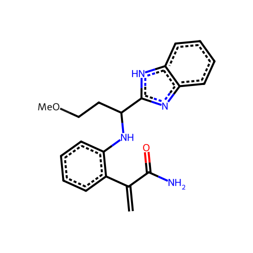 C=C(C(N)=O)c1ccccc1NC(CCOC)c1nc2ccccc2[nH]1